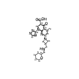 Cc1cc(N2CC(CNCC3CCCCO3)C2)nc2c1c(=O)c(C(=O)O)cn2-c1ncns1